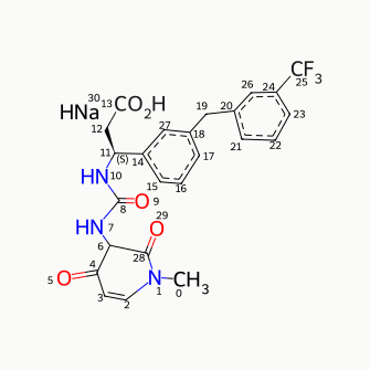 CN1C=CC(=O)C(NC(=O)N[C@@H](CC(=O)O)c2cccc(Cc3cccc(C(F)(F)F)c3)c2)C1=O.[NaH]